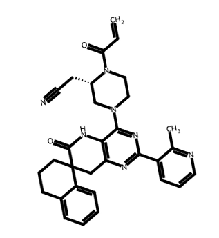 C=CC(=O)N1CCN(c2nc(-c3cccnc3C)nc3c2NC(=O)C2(CCCc4ccccc42)C3)C[C@@H]1CC#N